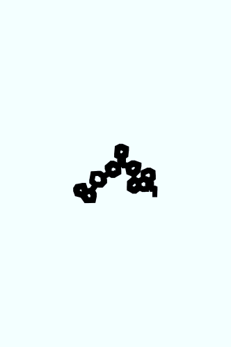 CCN1Cc2cccc(-c3cccc(N(c4ccccc4)c4ccc(C5=CC=C(c6cccc7ccccc67)CCC5)cc4)c3)c2C2=C1C=CCC2